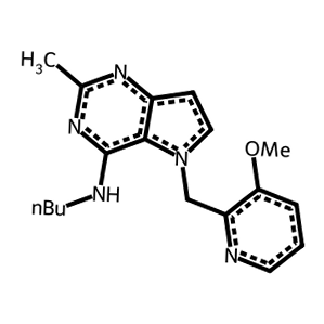 CCCCNc1nc(C)nc2ccn(Cc3ncccc3OC)c12